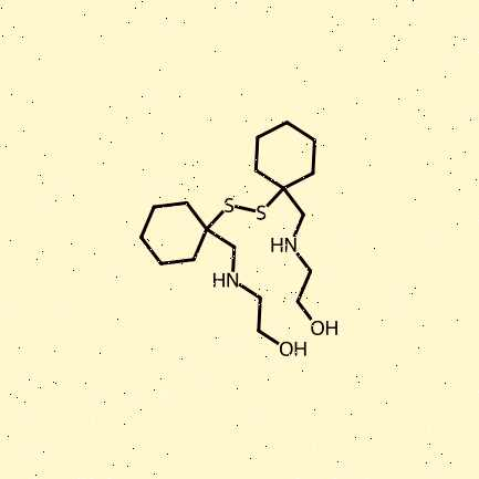 OCCNCC1(SSC2(CNCCO)CCCCC2)CCCCC1